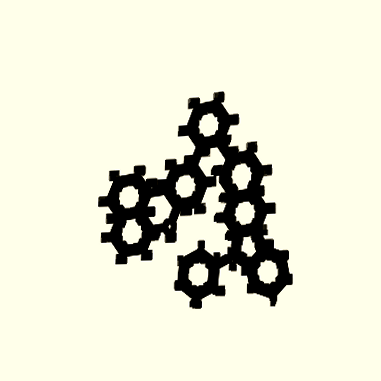 c1ccc(-n2c3ccccc3c3cc4ccc(-c5ccccc5-c5ccc6c(c5)-c5cccc7cccc(c57)O6)cc4cc32)cc1